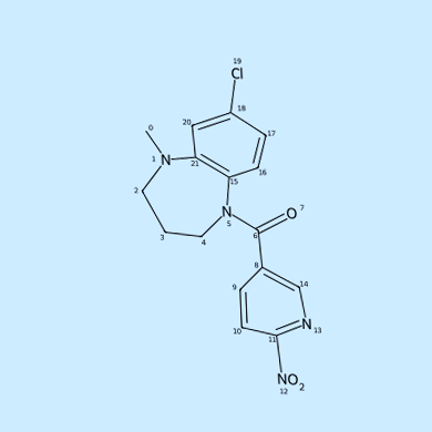 CN1CCCN(C(=O)c2ccc([N+](=O)[O-])nc2)c2ccc(Cl)cc21